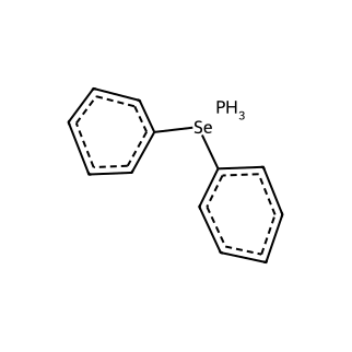 P.c1ccc([Se]c2ccccc2)cc1